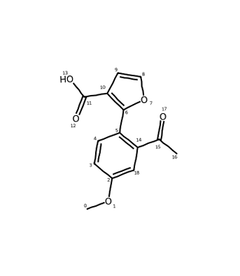 COc1ccc(-c2occc2C(=O)O)c(C(C)=O)c1